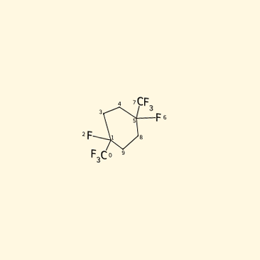 FC(F)(F)C1(F)CCC(F)(C(F)(F)F)CC1